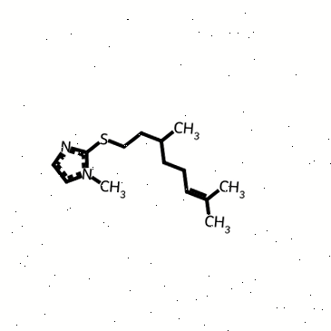 CC(C)=CCCC(C)CCSc1nccn1C